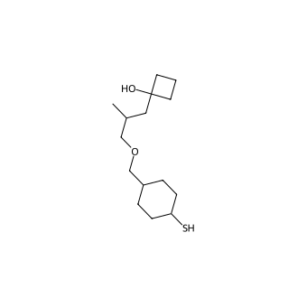 CC(COCC1CCC(S)CC1)CC1(O)CCC1